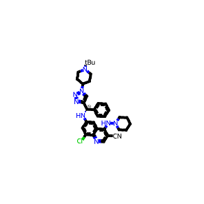 CC(C)(C)N1CCC(n2cc([C@@H](Nc3cc(Cl)c4ncc(C#N)c(NN5CCCCC5)c4c3)c3ccccc3)nn2)CC1